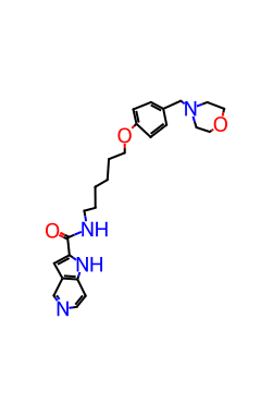 O=C(NCCCCCCOc1ccc(CN2CCOCC2)cc1)c1cc2cnccc2[nH]1